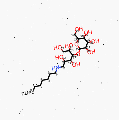 CCCCCCCCCCCCCCCCNCC(O)C(O)C(OC1OC(CO)C(O)C(O)C1O)C(O)CO